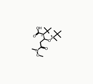 CON(C)C(=O)CC(O[Si](C)(C)C(C)(C)C)[C@@H](C(=O)O)C(C)(C)C